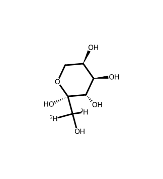 [2H]C([2H])(O)[C@@]1(O)OC[C@@H](O)[C@@H](O)[C@@H]1O